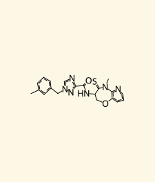 Cc1cccc(Cn2cnc(C(=O)NC3COc4cccnc4N(C)C3=S)n2)c1